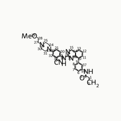 C=CC(=O)Nc1cccc(-c2cccc3cnc(Nc4ccc(N5CCN(CCOC)CC5)cc4C#N)nc23)c1